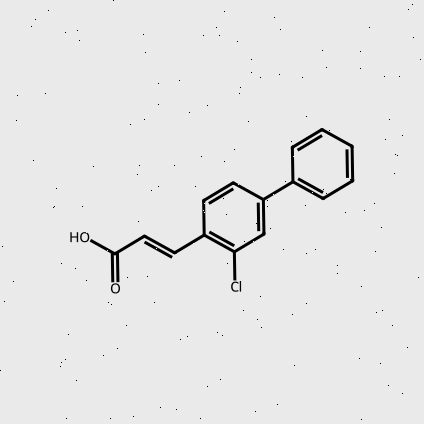 O=C(O)C=Cc1ccc(-c2ccccc2)cc1Cl